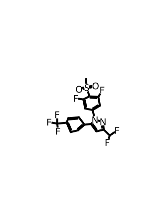 CS(=O)(=O)c1c(F)cc(-n2nc(C(F)F)cc2-c2ccc(C(F)(F)F)cc2)cc1F